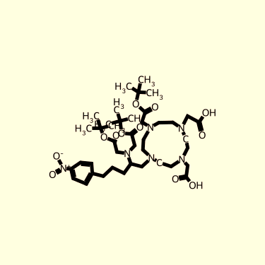 CC(C)(C)OC(=O)CN1CCN(CC(=O)O)CCN(CC(=O)O)CCN(CC(CCCc2ccc([N+](=O)[O-])cc2)N(CC(=O)OC(C)(C)C)CC(=O)OC(C)(C)C)CC1